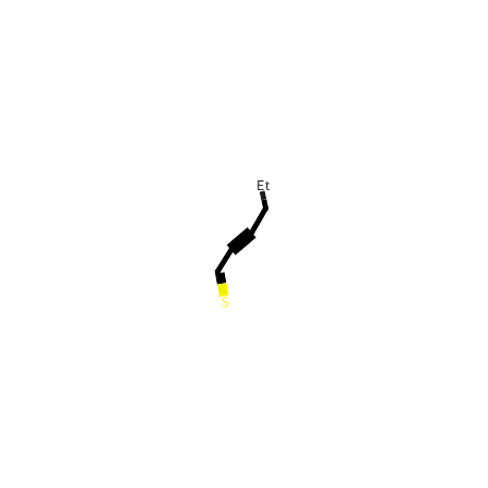 CCCC#CC=S